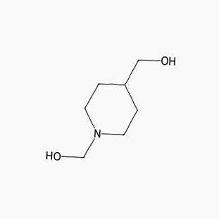 OCC1CCN(CO)CC1